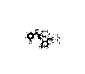 CC(C)C(Oc1ncc(C(=O)c2cccc(Cl)c2)n1C)C1CCNCC1